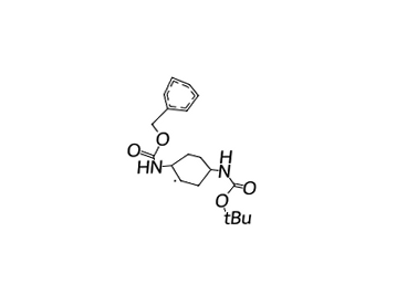 CC(C)(C)OC(=O)NC1C[CH]C(NC(=O)OCc2ccccc2)CC1